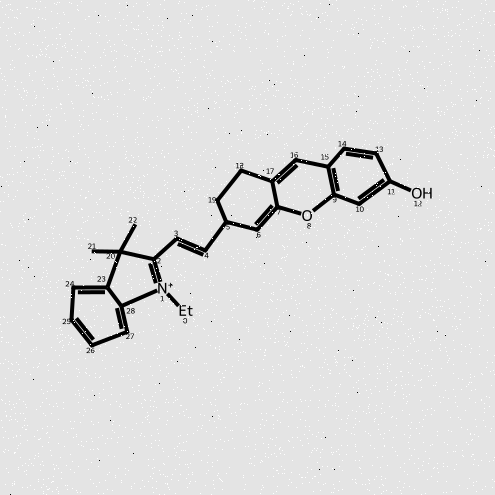 CC[N+]1=C(C=CC2C=C3Oc4cc(O)ccc4C=C3CC2)C(C)(C)c2ccccc21